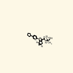 CC(C)(CO)NC(=O)c1nn(-c2ccc(C3CCCC3)cn2)c2c1C[C@@H]1C[C@H]21